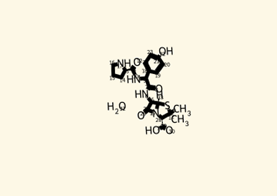 CC1(C)S[C@@H]2C(NC(=O)C(NC(=O)[C@H]3CCCN3)c3ccc(O)cc3)C(=O)N2[C@H]1C(=O)O.O